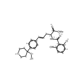 CCOC1(c2ccc(/C=C/CC(NC(=O)c3c(Cl)cccc3Cl)C(=O)OC)cc2)CCOCC1